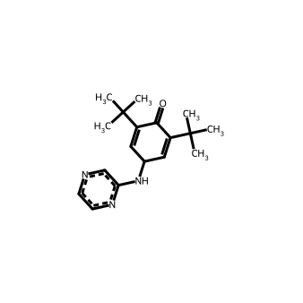 CC(C)(C)C1=CC(Nc2cnccn2)C=C(C(C)(C)C)C1=O